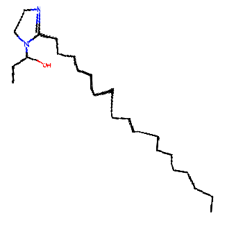 CCCCCCCCCCCCCCCCCCC1=NCCN1C(O)CC